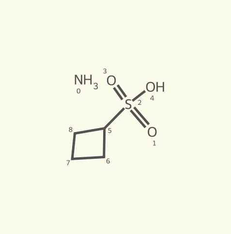 N.O=S(=O)(O)C1CCC1